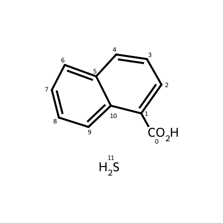 O=C(O)c1cccc2ccccc12.S